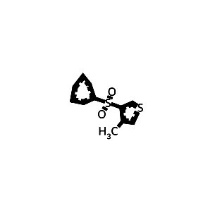 Cc1cscc1S(=O)(=O)c1ccccc1